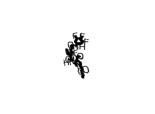 CCOC(=O)N1CC(C=O)C(NS(=O)(=O)c2cn(C)c(C(=O)Nc3cc(F)c(F)c(F)c3)c2F)C1